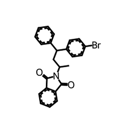 CC(CC(c1ccccc1)c1ccc(Br)cc1)N1C(=O)c2ccccc2C1=O